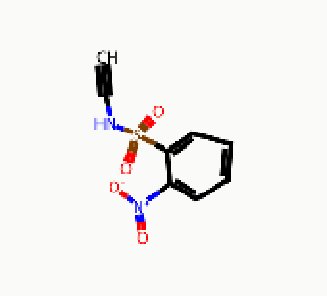 C#CNS(=O)(=O)c1ccccc1[N+](=O)[O-]